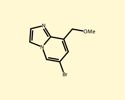 COCc1cc(Br)cn2ccnc12